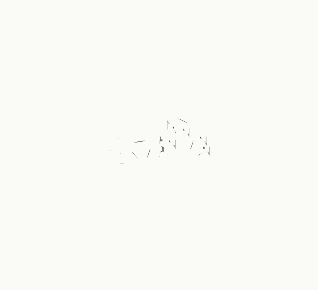 O=S(=O)(c1ccc(C(F)(F)F)cc1)N1c2nccn2-c2[nH]ncc2C1C1CC1